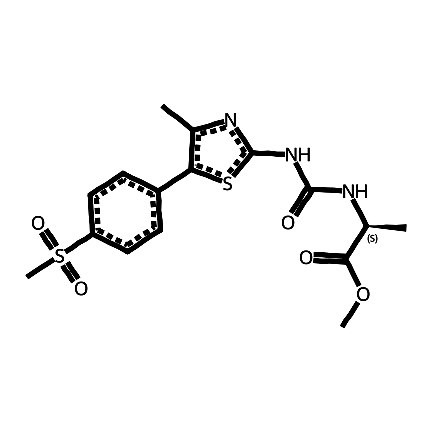 COC(=O)[C@H](C)NC(=O)Nc1nc(C)c(-c2ccc(S(C)(=O)=O)cc2)s1